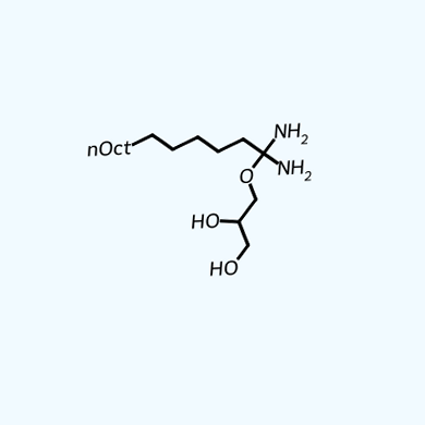 CCCCCCCCCCCCCC(N)(N)OCC(O)CO